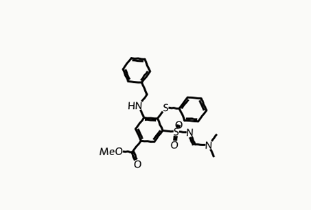 COC(=O)c1cc(NCc2ccccc2)c(Sc2ccccc2)c(S(=O)(=O)N=CN(C)C)c1